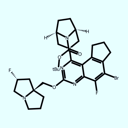 CC(C)(C)OC(=O)N1[C@@H]2CC[C@H]1CN(c1nc(OC[C@@]34CCCN3C[C@H](F)C4)nc3c(F)c(Br)c4c(c13)CCC4)C2